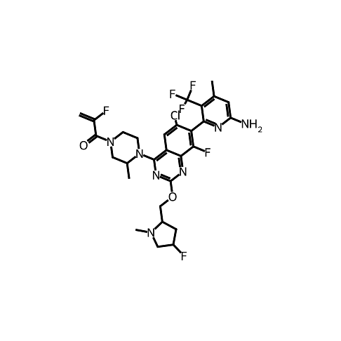 C=C(F)C(=O)N1CCN(c2nc(OCC3CC(F)CN3C)nc3c(F)c(-c4nc(N)cc(C)c4C(F)(F)F)c(Cl)cc23)C(C)C1